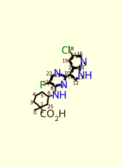 CC1(C(=O)O)CCCC(Nc2nc(-c3c[nH]c4ncc(Cl)cc34)ncc2F)C1